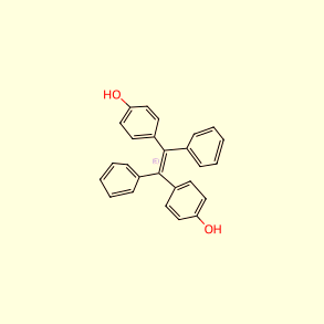 Oc1ccc(/C(=C(\c2ccccc2)c2ccc(O)cc2)c2ccccc2)cc1